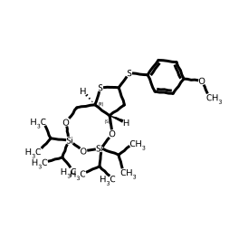 COc1ccc(SC2C[C@@H]3O[Si](C(C)C)(C(C)C)O[Si](C(C)C)(C(C)C)OC[C@H]3S2)cc1